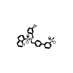 CS(=O)(=O)c1cccc(-c2ccc(CN(Cc3cccc(Br)c3)S(=O)(=O)c3cccc4cccnc34)cc2)c1